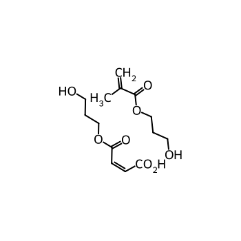 C=C(C)C(=O)OCCCO.O=C(O)/C=C\C(=O)OCCCO